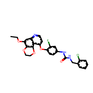 CCOc1cc2nccc(Oc3ccc(NC(=O)NCc4ccccc4Cl)cc3F)c2c2c1OCCO2